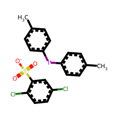 Cc1ccc([I+]c2ccc(C)cc2)cc1.O=S(=O)([O-])c1cc(Cl)ccc1Cl